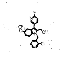 OCc1c(-c2ccc(F)nc2)c2cc(OC(F)(F)F)ccc2n1Cc1ccccc1Cl